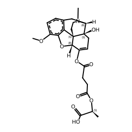 COc1ccc2c3c1O[C@H]1C(OC(=O)CCC(=O)O[C@@H](C)C(=O)O)=CC[C@@]4(O)[C@@H](C2)N(C)CC[C@]314